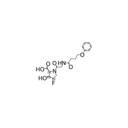 O=C(CCCOc1ccccc1)NCC(=O)N1C[C@H](F)[C@@H](O)[C@H]1C(=O)O